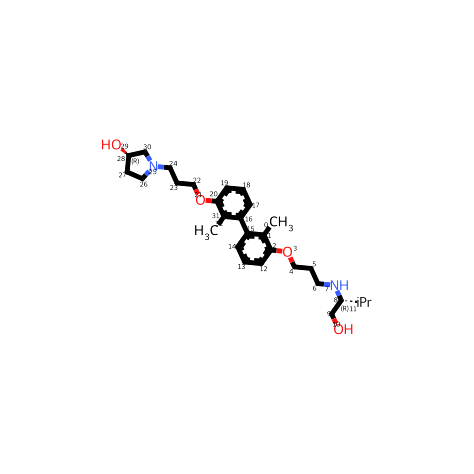 Cc1c(OCCCN[C@@H](CO)C(C)C)cccc1-c1cccc(OCCCN2CC[C@@H](O)C2)c1C